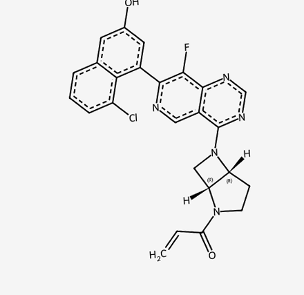 C=CC(=O)N1CC[C@@H]2[C@H]1CN2c1ncnc2c(F)c(-c3cc(O)cc4cccc(Cl)c34)ncc12